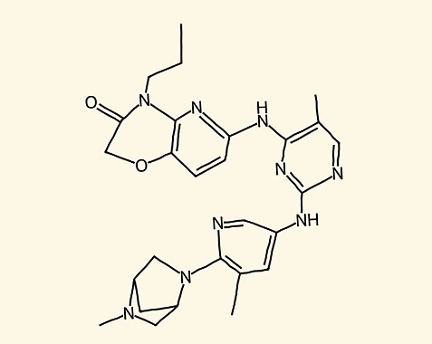 CCCN1C(=O)COc2ccc(Nc3nc(Nc4cnc(N5CC6CC5CN6C)c(C)c4)ncc3C)nc21